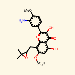 COc1ccc(-c2oc3c(CC4OC4(C)C)c(OS(=O)(=O)O)cc(O)c3c(=O)c2O)cc1N